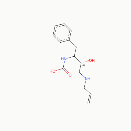 C=CCNC[C@@H](O)C(Cc1ccccc1)NC(=O)O